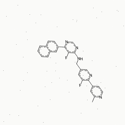 Cc1cc(-c2ncc(CNc3ncnc(-c4ccc5ccccc5c4)c3F)cc2F)ccn1